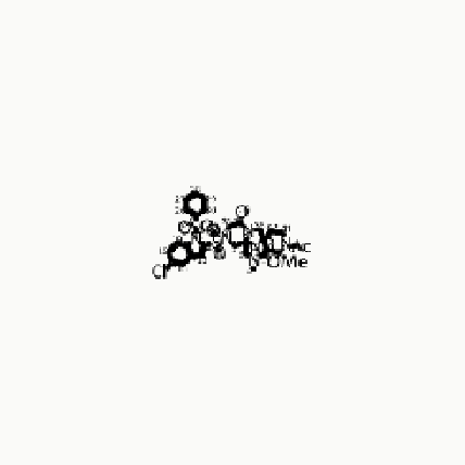 COC(=O)N(C)CC12CN(S(=O)(=O)c3cc4cc(Cl)ccc4n3S(=O)(=O)c3ccccc3)CC(=O)N1CC1(CCN(C(C)=O)CC1)N2C